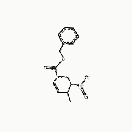 CC1C=CN(C(=O)OCc2ccccc2)CC1[N+](=O)[O-]